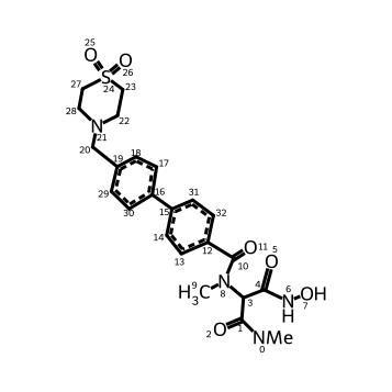 CNC(=O)C(C(=O)NO)N(C)C(=O)c1ccc(-c2ccc(CN3CCS(=O)(=O)CC3)cc2)cc1